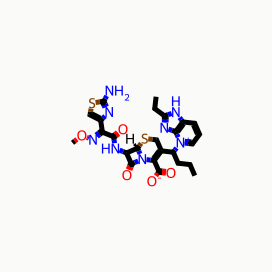 CCCC(C1=C(C(=O)[O-])N2C(=O)C(NC(=O)C(=NOC)c3csc(N)n3)[C@@H]2SC1)[n+]1cccc2[nH]c(CC)nc21